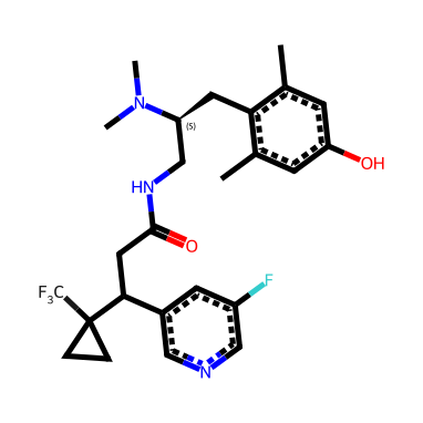 Cc1cc(O)cc(C)c1C[C@@H](CNC(=O)CC(c1cncc(F)c1)C1(C(F)(F)F)CC1)N(C)C